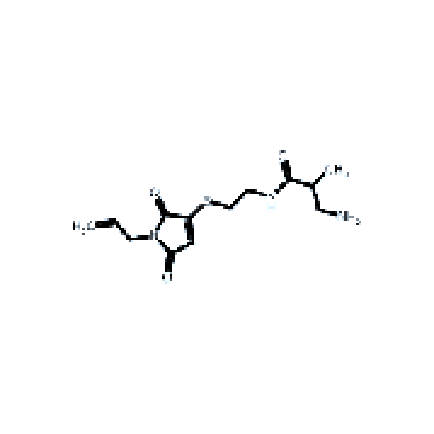 C=CCN1C(=O)C=C(SCCNC(=O)C(C)CN)C1=O